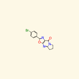 O=c1c2nc(-c3ccc(Br)cc3)oc2nc2n1CCC2